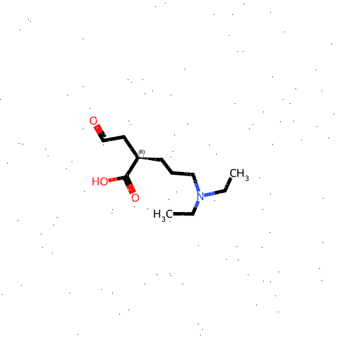 CCN(CC)CCC[C@H](CC=O)C(=O)O